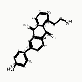 O=C1c2cc(-c3ccc(O)cc3)ccc2C(=O)c2c(CCO)cccc21